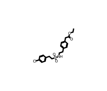 CCOC(=O)Cc1ccc(CCNS(=O)(=O)CCc2ccc(Cl)cc2)cc1